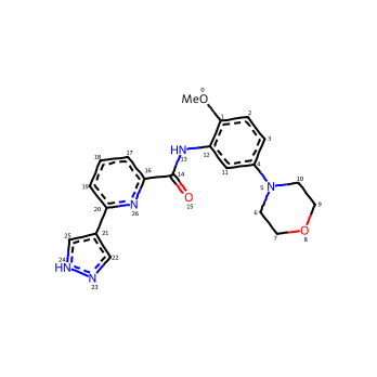 COc1ccc(N2CCOCC2)cc1NC(=O)c1cccc(-c2cn[nH]c2)n1